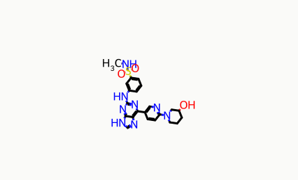 CNS(=O)(=O)c1cccc(Nc2nc(-c3ccc(N4CCCC(O)C4)nc3)c3nc[nH]c3n2)c1